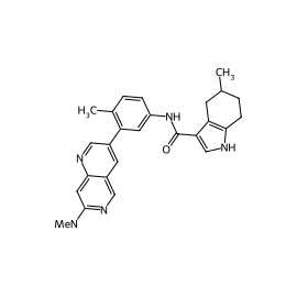 CNc1cc2ncc(-c3cc(NC(=O)c4c[nH]c5c4CC(C)CC5)ccc3C)cc2cn1